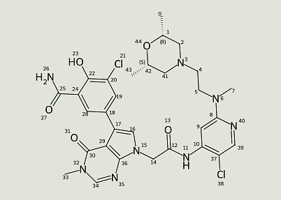 C[C@@H]1CN(CCN(C)c2cc(NC(=O)Cn3cc(-c4cc(Cl)c(O)c(C(N)=O)c4)c4c(=O)n(C)cnc43)c(Cl)cn2)C[C@H](C)O1